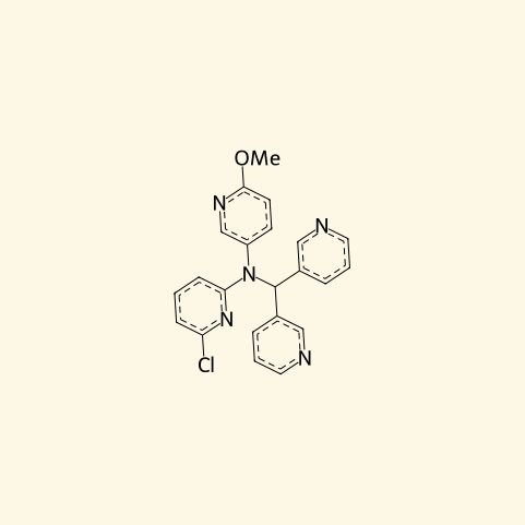 COc1ccc(N(c2cccc(Cl)n2)C(c2cccnc2)c2cccnc2)cn1